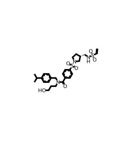 C=CS(=O)(=O)NC[C@H]1CCN(S(=O)(=O)c2ccc(C(=O)N(CCCO)Cc3ccc(C(C)C)cc3)cc2)C1